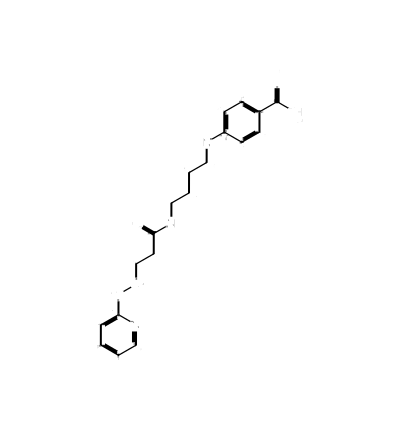 O=C(CCSSc1ccccn1)NCCCCNc1ccc(C(=O)O)cc1